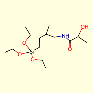 CCO[Si](CCC(C)CNC(=O)C(C)O)(OCC)OCC